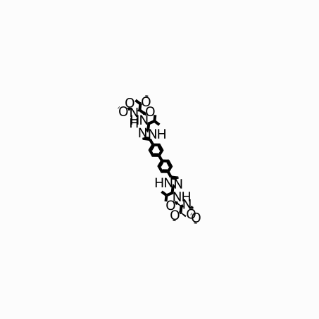 COO/C=N\[C@H](C(=O)N[C@@H](c1ncc(-c2ccc(-c3ccc(-c4cnc([C@H](NC(=O)[C@@H](NC(=O)OC)C(C)OC)C(C)C)[nH]4)cc3)cc2)[nH]1)C(C)C)[C@@H](C)OC